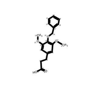 COc1cc(CCC(=O)O)cc(OC)c1OCc1ccccc1